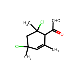 CC1=CC(C)(Cl)CC(C)(Cl)C1C(=O)C=O